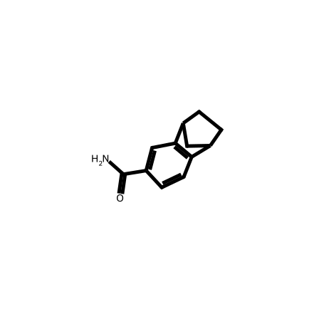 NC(=O)c1ccc2c(c1)C1CCC2C1